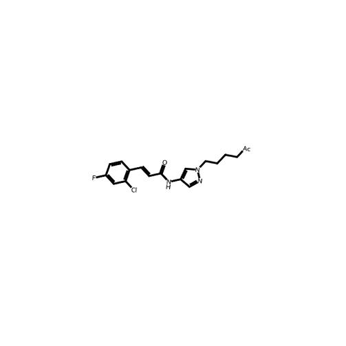 CC(=O)CCCCn1cc(NC(=O)C=Cc2ccc(F)cc2Cl)cn1